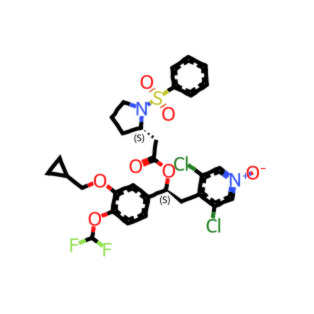 O=C(C[C@@H]1CCCN1S(=O)(=O)c1ccccc1)O[C@@H](Cc1c(Cl)c[n+]([O-])cc1Cl)c1ccc(OC(F)F)c(OCC2CC2)c1